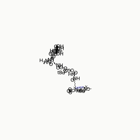 CCCCN1\C(=C/C=C/C=C/C2=[N+](CCCC)c3ccc(C)cc3C2(C)C)C(C)(CCCCCC(=O)NCCNC(=O)c2cccc(OCC(OCCOCC(=O)NCC#Cc3cn([C@H]4CC(O[C@H](C)SSC)[C@@H](COP(=O)(O)OP(=O)(O)OP(=O)(O)O)O4)c4nc(N)[nH]c(=O)c34)SSC(C)(C)C)c2)c2cc(S(=O)(=O)[O-])ccc21